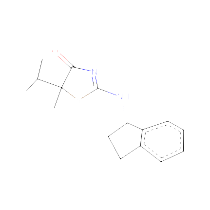 CC(C)C1(C)SC(N[C@H]2CCc3ccccc32)=NC1=O